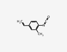 C=Cc1ccc(N=C=O)c(C)c1